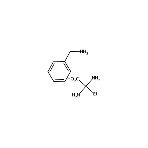 CCC(N)(N)C(=O)O.NCc1ccccc1